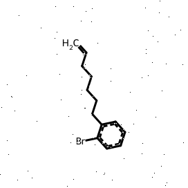 C=CCCCCCc1ccccc1Br